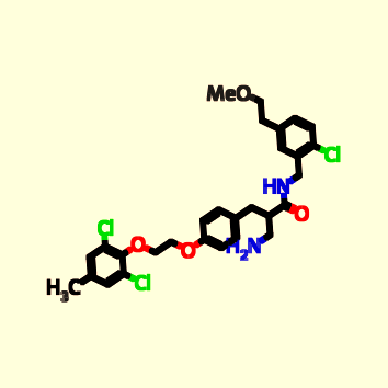 COCCc1ccc(Cl)c(CNC(=O)C(CN)Cc2ccc(OCCOc3c(Cl)cc(C)cc3Cl)cc2)c1